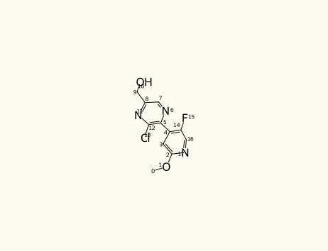 COc1cc(-c2ncc(CO)nc2Cl)c(F)cn1